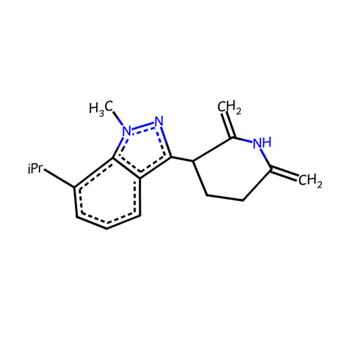 C=C1CCC(c2nn(C)c3c(C(C)C)cccc23)C(=C)N1